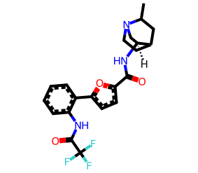 CC1CC2CCN1C[C@@H]2NC(=O)c1ccc(-c2ccccc2NC(=O)C(F)(F)F)o1